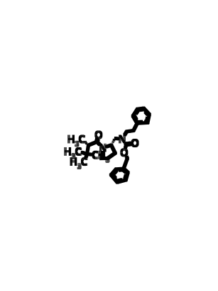 C[C@H](C(=O)N1CCC[C@H]1CN(CCc1ccccc1)C(=O)OCc1ccccc1)C(C)(C)C